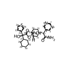 NC(=O)C(c1cncnc1)[N+]12CCC(CC1)[C@@H](OC(=O)C(O)(c1ccsc1)C1CCCCC1)C2